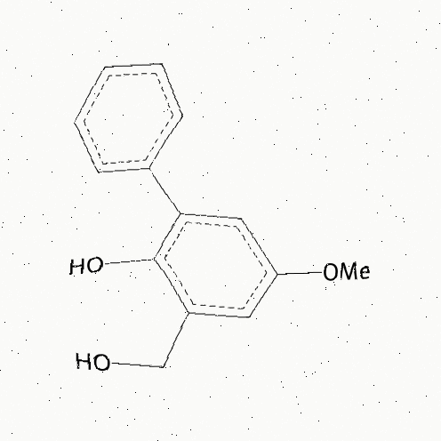 COc1cc(CO)c(O)c(-c2ccccc2)c1